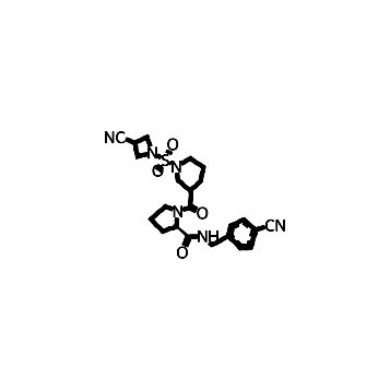 N#Cc1ccc(CNC(=O)[C@H]2CCCN2C(=O)C2CCCN(S(=O)(=O)N3CC(C#N)C3)C2)cc1